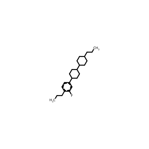 CCCc1ccc(C2CCC(C3CCC(CCC)CC3)CC2)cc1F